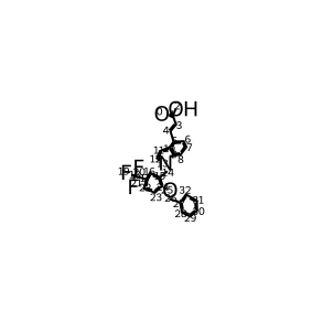 O=C(O)/C=C/c1cccc2c1ccn2Cc1cc(C(F)(F)F)ccc1OCc1ccccc1